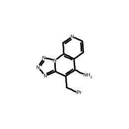 CC(C)Cc1c(N)c2ccncc2n2nnnc12